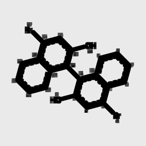 Oc1cc(Br)c2ccccc2c1-c1c(O)cc(Br)c2ccccc12